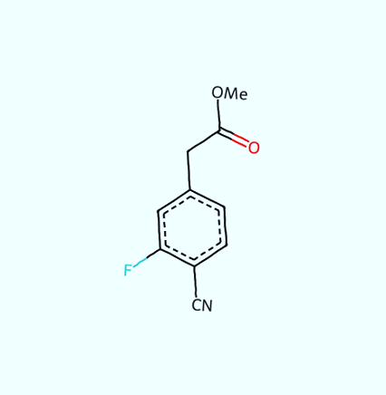 COC(=O)Cc1ccc(C#N)c(F)c1